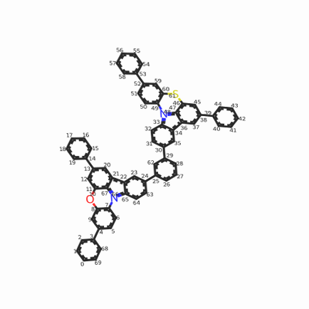 c1ccc(-c2ccc3c(c2)Oc2cc(-c4ccccc4)cc4c5cc(-c6cccc(-c7ccc8c(c7)c7cc(-c9ccccc9)cc9c7n8-c7ccc(-c8ccccc8)cc7S9)c6)ccc5n-3c24)cc1